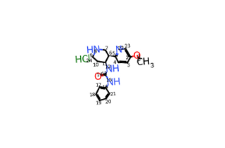 COc1ccc([C@@H]2CNCC[C@H]2NC(=O)Nc2ccccc2)nc1.Cl